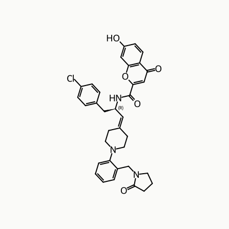 O=C(N[C@@H](C=C1CCN(c2ccccc2CN2CCCC2=O)CC1)Cc1ccc(Cl)cc1)c1cc(=O)c2ccc(O)cc2o1